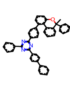 CC1(c2ccccc2)Oc2cccc(-c3ccc(-c4nc(-c5ccccc5)nc(-c5ccc(-c6ccccc6)cc5)n4)cc3)c2-c2ccccc21